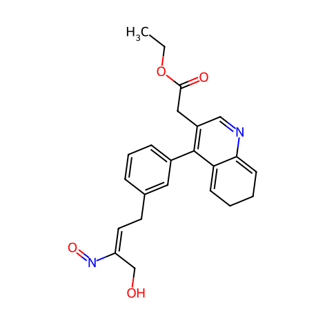 CCOC(=O)Cc1cnc2c(c1-c1cccc(C/C=C(\CO)N=O)c1)=CCCC=2